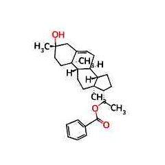 CC(OC(=O)c1ccccc1)[C@H]1CC[C@H]2[C@@H]3CC=C4C[C@@](C)(O)CC[C@]4(C)[C@H]3CC[C@]12C